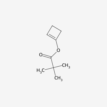 CC(C)(C)C(=O)OC1=CCC1